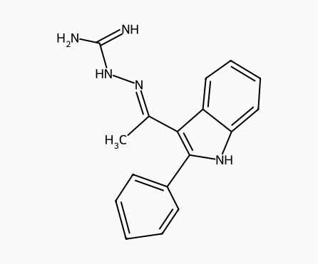 CC(=NNC(=N)N)c1c(-c2ccccc2)[nH]c2ccccc12